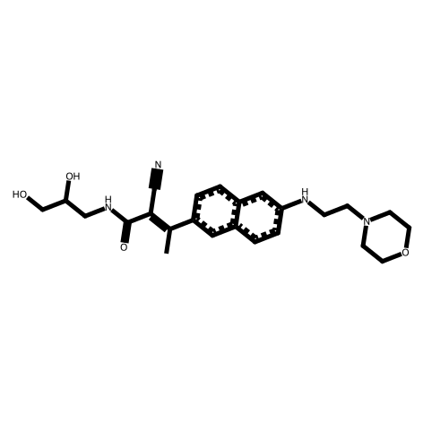 C/C(=C(/C#N)C(=O)NCC(O)CO)c1ccc2cc(NCCN3CCOCC3)ccc2c1